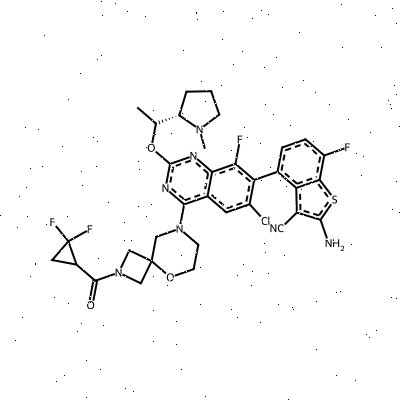 CC(Oc1nc(N2CCOC3(CN(C(=O)C4CC4(F)F)C3)C2)c2cc(Cl)c(-c3ccc(F)c4sc(N)c(C#N)c34)c(F)c2n1)[C@@H]1CCCN1C